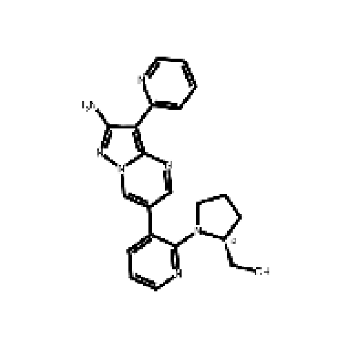 Nc1nn2cc(-c3cccnc3N3CCC[C@H]3CO)cnc2c1-c1ccccn1